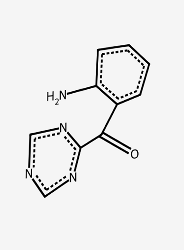 Nc1ccccc1C(=O)c1ncncn1